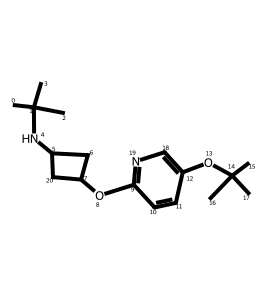 CC(C)(C)NC1CC(Oc2ccc(OC(C)(C)C)cn2)C1